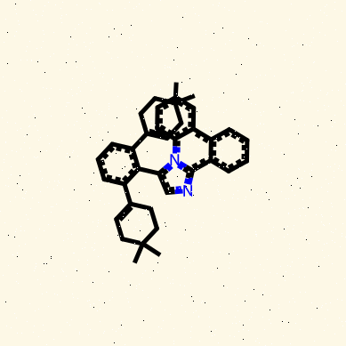 CC1(C)CC=C(c2cccc(C3=CCC(C)(C)CC3)c2-c2cnc3c4ccccc4c4ccccc4n23)CC1